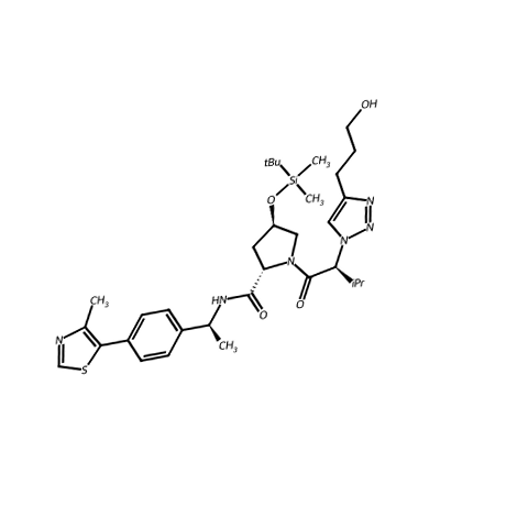 Cc1ncsc1-c1ccc([C@H](C)NC(=O)[C@@H]2C[C@@H](O[Si](C)(C)C(C)(C)C)CN2C(=O)[C@H](C(C)C)n2cc(CCCO)nn2)cc1